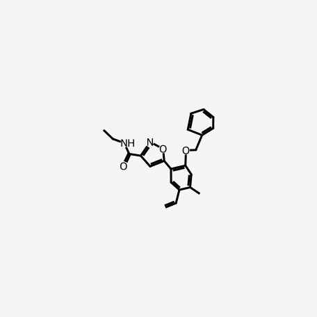 C=Cc1cc(-c2cc(C(=O)NCC)no2)c(OCc2ccccc2)cc1C